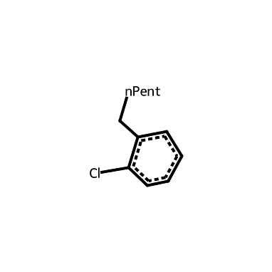 CCCCCCc1ccccc1Cl